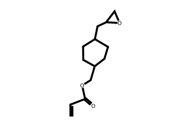 C=CC(=O)OCC1CCC(CC2CO2)CC1